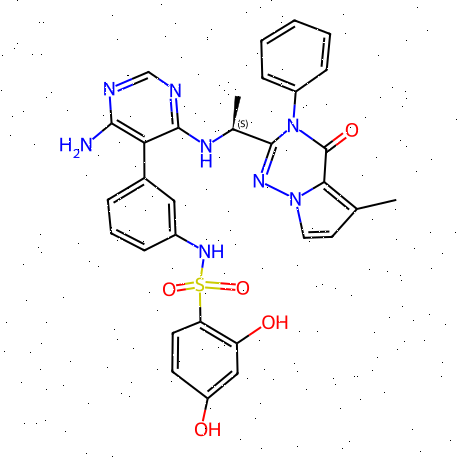 Cc1ccn2nc([C@H](C)Nc3ncnc(N)c3-c3cccc(NS(=O)(=O)c4ccc(O)cc4O)c3)n(-c3ccccc3)c(=O)c12